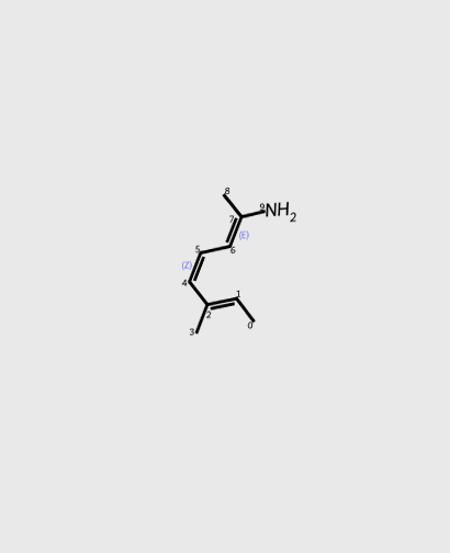 CC=C(C)/C=C\C=C(/C)N